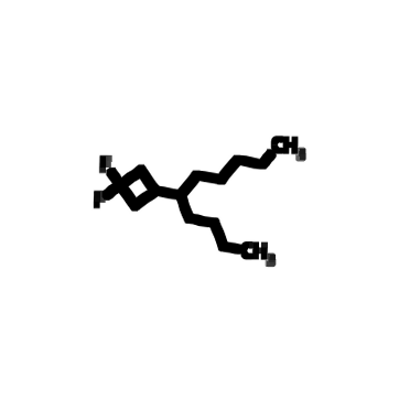 CCCCCC(CCCC)C1CC(F)(F)C1